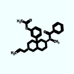 C=CCN1CCC2(c3cccc(OC(C)=O)c3)C[C@@H](N(C)C(=O)c3ccccc3)CCC2C1